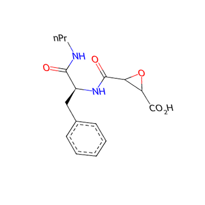 CCCNC(=O)[C@H](Cc1ccccc1)NC(=O)C1OC1C(=O)O